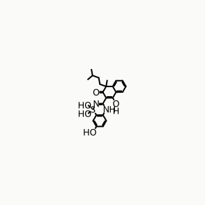 CC(C)CCC1(C)C(=O)C(C2=NS(O)(O)c3cc(O)ccc3N2)=C(O)c2ccccc21